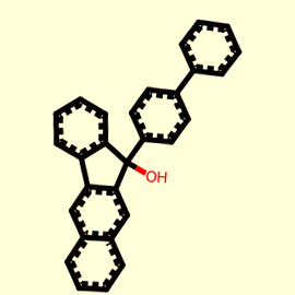 OC1(c2ccc(-c3ccccc3)cc2)c2ccccc2-c2cc3ccccc3cc21